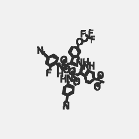 CS(=O)(=O)c1ccc2c(S(=O)(=O)Nc3ccc(C#N)cc3)c[nH]c2c1.N#Cc1ccc(NS(=O)(=O)c2c[nH]c3cc(OCC(F)(F)F)ccc23)c(F)c1